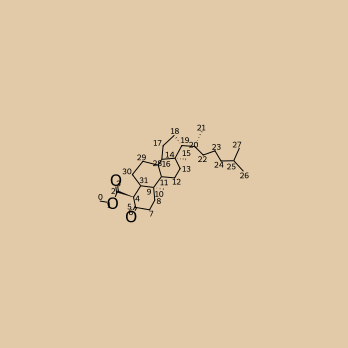 COC(=O)[C@@H]1C(=O)CC[C@]2(C)C3CC[C@@]4(C)C(CC[C@@H]4[C@H](C)CCCC(C)C)C3CCC12